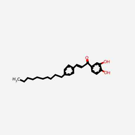 CCCCCCCCCCc1ccc(C=CC(=O)c2ccc(O)c(O)c2)cc1